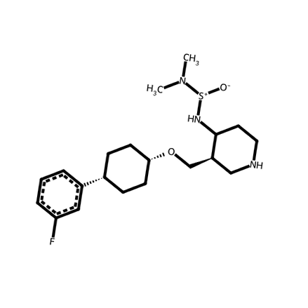 CN(C)[S+]([O-])NC1CCNC[C@H]1CO[C@H]1CC[C@@H](c2cccc(F)c2)CC1